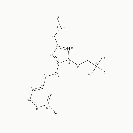 CNCc1cc(OCc2cccc(Cl)c2)n(CCC(C)(C)C)n1